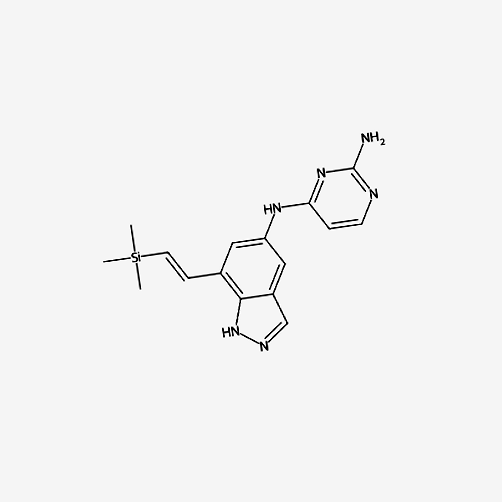 C[Si](C)(C)/C=C/c1cc(Nc2ccnc(N)n2)cc2cn[nH]c12